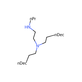 CCCCCCCCCCCCN(CCCCCCCCCCCC)CCNCCC